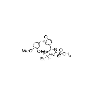 CCC(F)(F)c1cc(-c2ccc(=O)n(Cc3ccc(OC)c(OC)c3)c2)nc(S(C)(=O)=O)n1